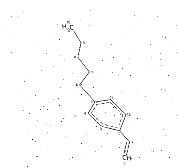 [CH]=Cc1ccc(CCCCC)cc1